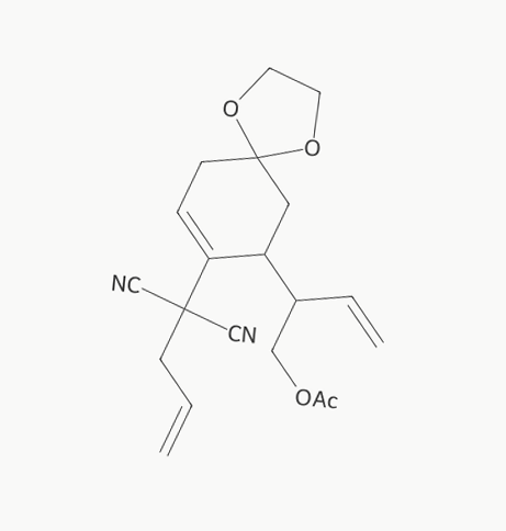 C=CCC(C#N)(C#N)C1=CCC2(CC1C(C=C)COC(C)=O)OCCO2